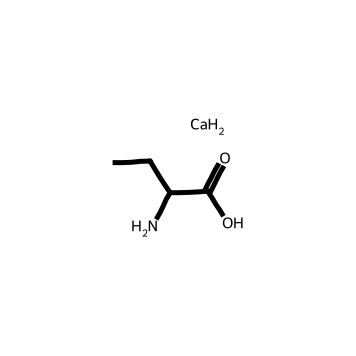 CCC(N)C(=O)O.[CaH2]